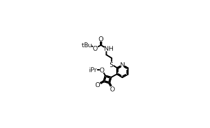 CC(C)Oc1c(-c2cccnc2SCCNC(=O)OC(C)(C)C)c(=O)c1=O